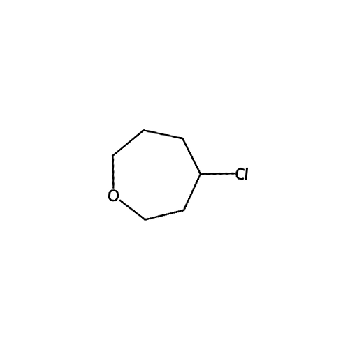 ClC1CCCOCC1